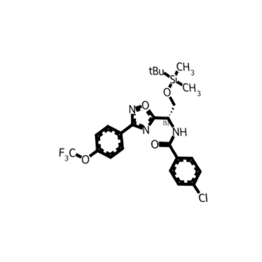 CC(C)(C)[Si](C)(C)OC[C@H](NC(=O)c1ccc(Cl)cc1)c1nc(-c2ccc(OC(F)(F)F)cc2)no1